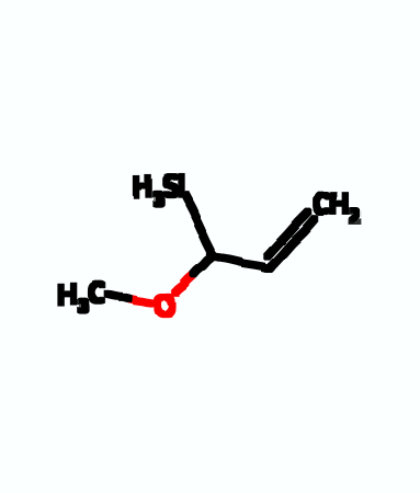 C=CC([SiH3])OC